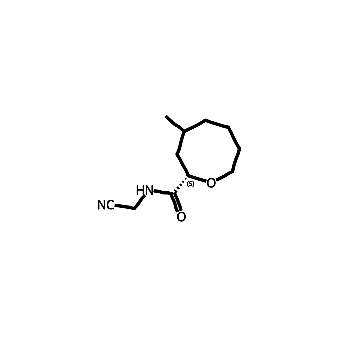 CC1CCCCO[C@H](C(=O)NCC#N)C1